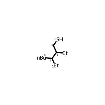 CCCCC(CC)C(CC)CS